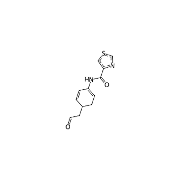 O=CCC1C=CC(NC(=O)c2cscn2)=CC1